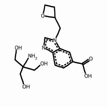 NC(CO)(CO)CO.O=C(O)c1ccc2ncn(CC3CCO3)c2c1